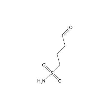 NS(=O)(=O)CCCC=O